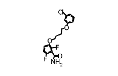 NC(=O)c1c(F)ccc(OCCCCOc2cccc(Cl)c2)c1F